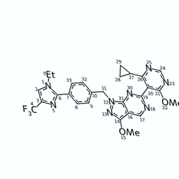 CCn1cc(C(F)(F)F)nc1-c1ccc(Cn2nc(OC)c3cnc(-c4c(OC)ncnc4C4CC4)nc32)cc1